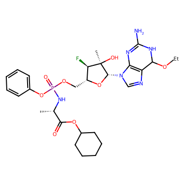 CCOC1NC(N)=Nc2c1ncn2[C@@H]1O[C@H](COP(=O)(N[C@@H](C)C(=O)OC2CCCCC2)Oc2ccccc2)[C@@H](F)[C@@]1(C)O